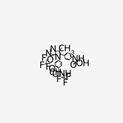 COc1cc(-n2c(-c3ccc(NC(=O)O)cc3)c(C)c3ncnc(OC(F)C(F)F)c32)ccc1C(=O)NC(F)C(F)F